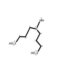 CCCCN(CCCS(=O)(=O)O)CCCS(=O)(=O)O